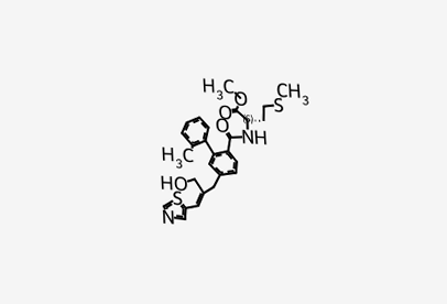 COC(=O)[C@H](CCSC)NC(=O)c1ccc(CC(=Cc2cncs2)CO)cc1-c1ccccc1C